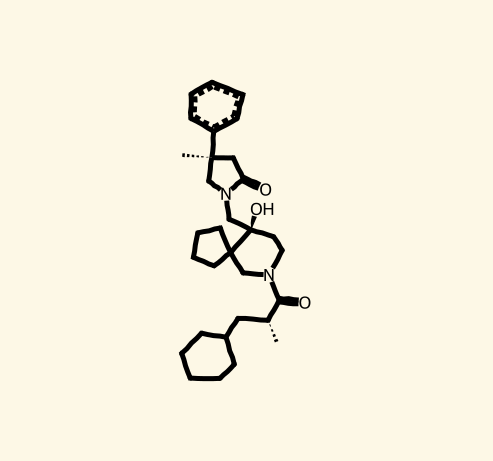 C[C@H](CC1CCCCC1)C(=O)N1CC[C@@](O)(CN2C[C@@](C)(c3ccccc3)CC2=O)C2(CCCC2)C1